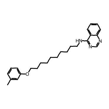 Cc1cccc(OCCCCCCCCCCNc2ncnc3ccccc23)c1